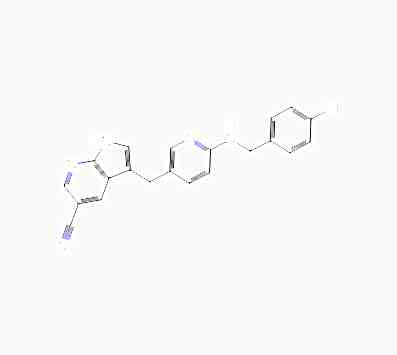 N#Cc1cnc2[nH]cc(Cc3ccc(NCc4ccc(Cl)cc4)nc3)c2c1